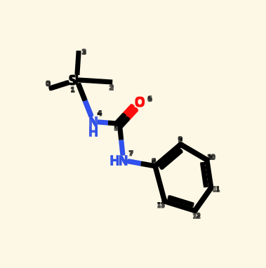 C[Si](C)(C)NC(=O)Nc1ccccc1